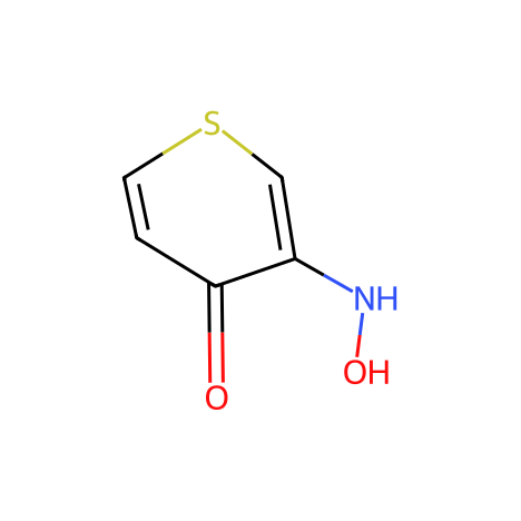 O=c1ccscc1NO